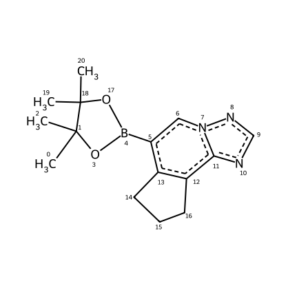 CC1(C)OB(c2cn3ncnc3c3c2CCC3)OC1(C)C